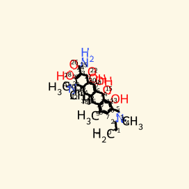 C=CCN(C)Cc1cc(C)c2c(c1O)C(=O)C1=C(O)[C@]3(O)C(=O)C(C(N)=O)=C(O)[C@H](N(C)C)[C@@H]3C[C@@H]1C2